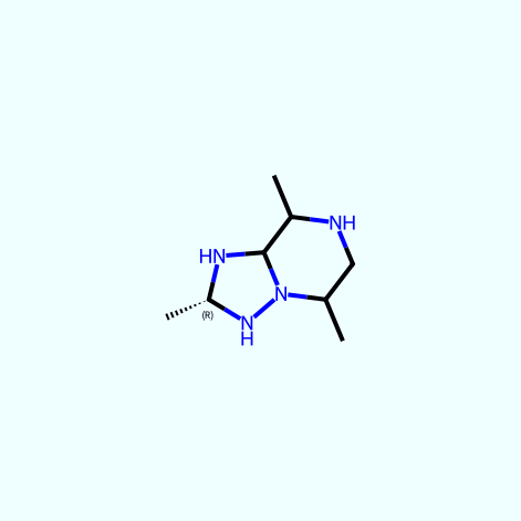 CC1NCC(C)N2N[C@H](C)NC12